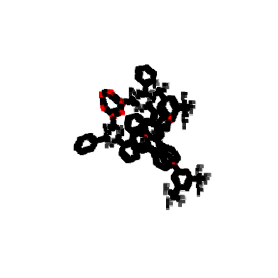 FC(F)(F)c1cc(-c2ccc3c(c2)c2ccccc2n3-c2cccc(-c3nc(-c4ccccc4)nc(-c4ccccc4)n3)c2-c2cccc(-c3c(-c4nc(-c5ccccc5)nc(-c5ccccc5)n4)cccc3-n3c4ccccc4c4cc(-c5cc(C(F)(F)F)cc(C(F)(F)F)c5)ccc43)c2)cc(C(F)(F)F)c1